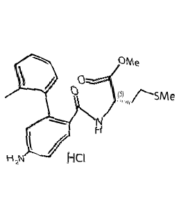 COC(=O)[C@H](CCSC)NC(=O)c1ccc(N)cc1-c1ccccc1C.Cl